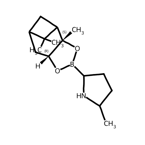 CC1CCC(B2O[C@@H]3CC4CC(C4(C)C)[C@]3(C)O2)N1